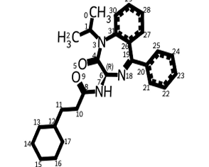 CC(C)N1C(=O)[C@H](NC(=O)CCC2CCCCC2)N=C(c2ccccc2)c2ccccc21